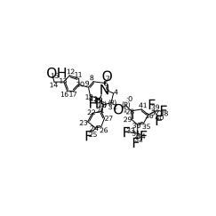 C[C@@H](O[C@H]1CN2C(=O)C=C(c3ccc(CO)cc3)C[C@H]2[C@@H]1c1ccc(F)cc1)c1cc(C(F)(F)F)cc(C(F)(F)F)c1